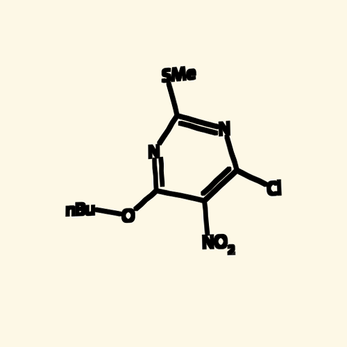 CCCCOc1nc(SC)nc(Cl)c1[N+](=O)[O-]